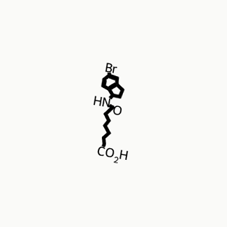 O=C(O)CCCCCCC(=O)NC1CCc2cc(Br)ccc21